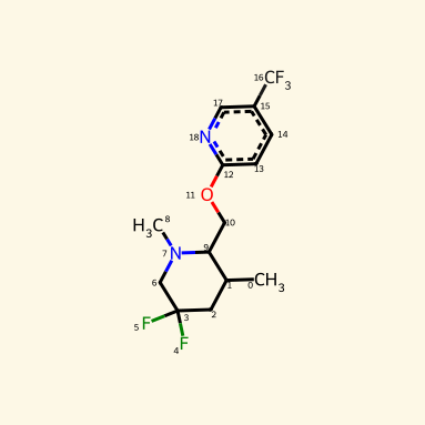 CC1CC(F)(F)CN(C)C1COc1ccc(C(F)(F)F)cn1